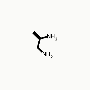 C=C(N)CN